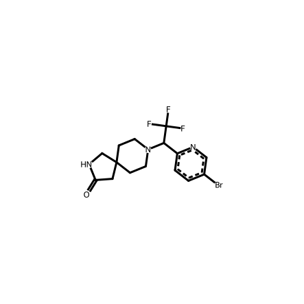 O=C1CC2(CCN(C(c3ccc(Br)cn3)C(F)(F)F)CC2)CN1